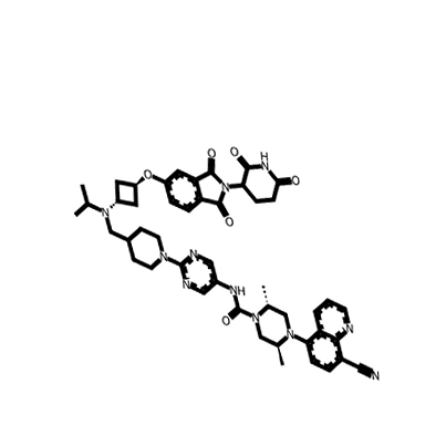 CC(C)N(CC1CCN(c2ncc(NC(=O)N3C[C@H](C)N(c4ccc(C#N)c5ncccc45)C[C@H]3C)cn2)CC1)[C@H]1C[C@H](Oc2ccc3c(c2)C(=O)N(C2CCC(=O)NC2=O)C3=O)C1